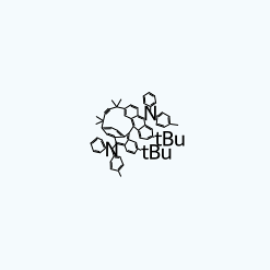 Cc1ccc(N(c2ccccc2)c2c3ccc4cc3c(c3ccc(C(C)(C)C)cc23)-c2c3cc(C(C)(C)C)ccc3c(N(c3ccccc3)c3ccc(C)cc3)c3cc(ccc23)C(C)(C)C#CC4(C)C)cc1